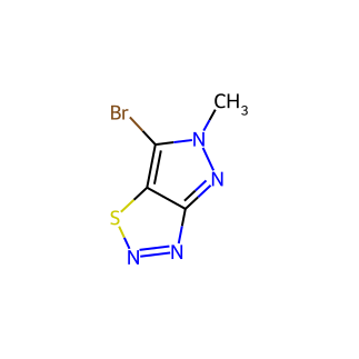 Cn1nc2nnsc2c1Br